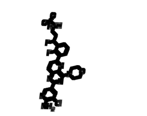 Nc1ncc(-c2nc(N3CCOCC3)c3nc(-c4cccc(C(F)CCN[SH](=O)=O)c4F)ccc3n2)cc1Cl